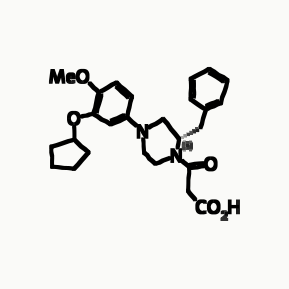 COc1ccc(N2CCN(C(=O)CC(=O)O)[C@@H](Cc3ccccc3)C2)cc1OC1CCCC1